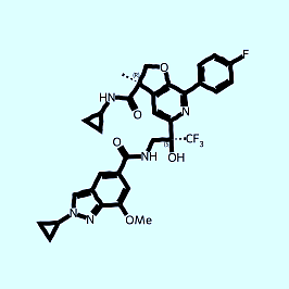 COc1cc(C(=O)NC[C@](O)(c2cc3c(c(-c4ccc(F)cc4)n2)OC[C@]3(C)C(=O)NC2CC2)C(F)(F)F)cc2cn(C3CC3)nc12